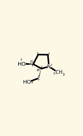 CN1CC[C@H](O)[C@H]1CO